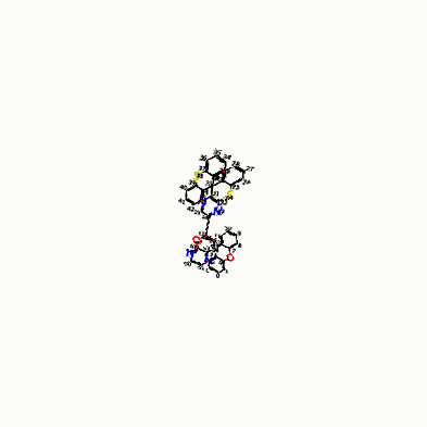 c1ccc2c(c1)Oc1ccccc1[Si]21c2ccc(-c3cnc4c(n3)Sc3ccccc3C43c4ccccc4Sc4ccccc43)cc2Oc2nccnc21